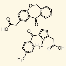 Cc1ccc(C(=O)c2ccc(CC(=O)O)n2C)cc1.O=C(O)Cc1ccc2c(c1)C(=O)c1ccccc1CO2